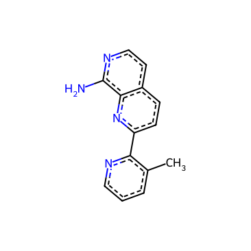 Cc1cccnc1-c1ccc2ccnc(N)c2n1